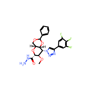 CO[C@@H]1[C@@H](n2cc(-c3cc(F)c(F)c(F)c3)nn2)[C@H]2OC(c3ccccc3)OC[C@H]2O[C@H]1C(=O)NN